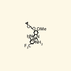 COc1cc2nc(C)nc(N[C@H](C)c3cc(C(F)(F)F)cc(N)n3)c2cc1OCCOC1CC1